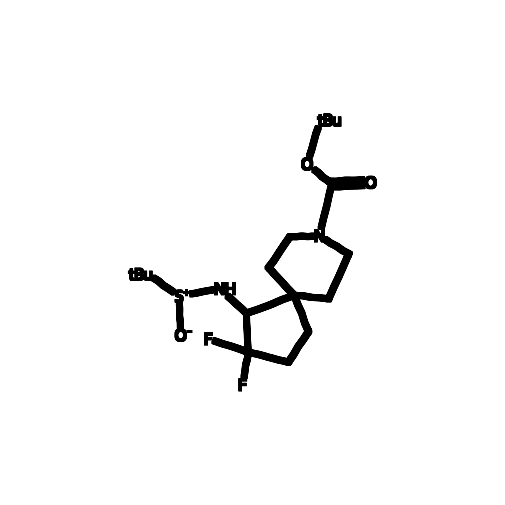 CC(C)(C)OC(=O)N1CCC2(CC1)CCC(F)(F)C2N[S+]([O-])C(C)(C)C